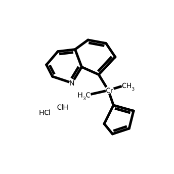 Cl.Cl.[CH3][Cr]([CH3])([C]1=CC=CC1)[c]1cccc2cccnc12